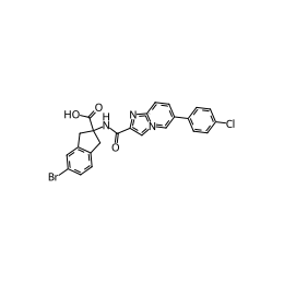 O=C(NC1(C(=O)O)Cc2ccc(Br)cc2C1)c1cn2cc(-c3ccc(Cl)cc3)ccc2n1